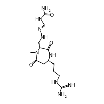 CN1C(=O)C[C@H](CCCNC(=N)N)NC(=O)[C@@H]1CNN=CNC(N)=O